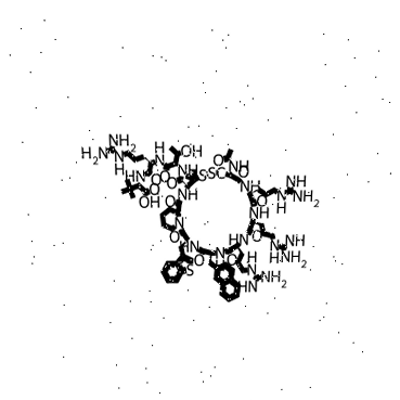 CC(=O)N[C@H]1CSSC(C)(C)[C@@H](C(=O)N[C@H](C(=O)N[C@@H](CCCNC(N)N)C(=O)N[C@H](C(=O)O)C(C)(C)C)C(C)O)NC(=O)C2CCCCN2C(=O)[C@H](Cc2csc3ccccc23)NC(=O)[C@H](Cc2ccc3ccccc3c2)NC(=O)[C@H](CCCNC(=N)N)NC(=O)[C@H](CCCNC(=N)N)NC(=O)[C@@H](CCCNC(=N)N)NC1=O